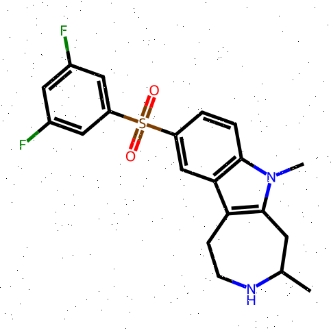 CC1Cc2c(c3cc(S(=O)(=O)c4cc(F)cc(F)c4)ccc3n2C)CCN1